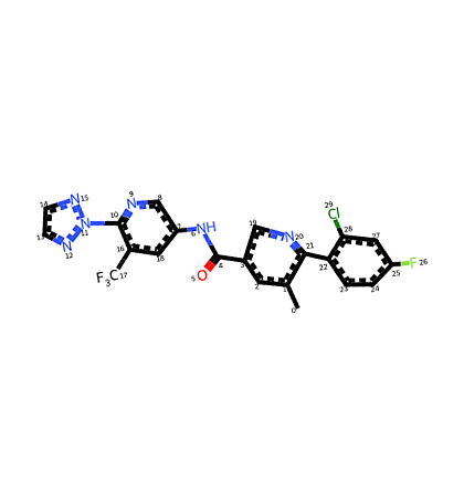 Cc1cc(C(=O)Nc2cnc(-n3nccn3)c(C(F)(F)F)c2)cnc1-c1ccc(F)cc1Cl